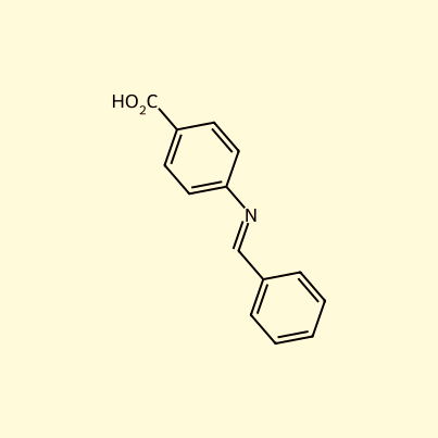 O=C(O)c1ccc(N=Cc2ccccc2)cc1